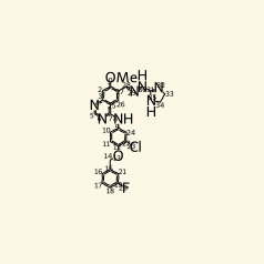 COc1cc2ncnc(Nc3ccc(OCc4cccc(F)c4)c(Cl)c3)c2cc1C=NNC1=NCCN1